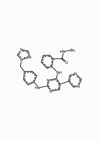 CCC(C)NC(=O)c1ccccc1Nc1nc(Nc2ccc(Cn3cncn3)cc2)ncc1-c1cncnc1